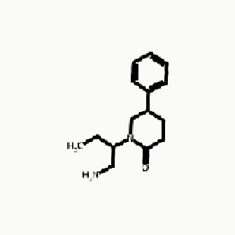 CCC(CN)N1CC(c2ccccc2)CCC1=O